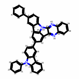 c1ccc(-c2ccc3c(c2)c2cc(-c4ccc5c(c4)c4ccccc4n5-c4ccccc4)cc4c5nc6ccccc6nc5n3c24)cc1